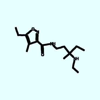 CCNC(C)(CC)CCNC(=O)c1noc(CC)c1C